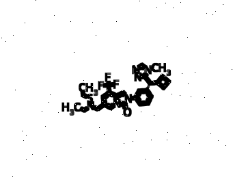 CCSN(CC)Cc1cc(C(F)(F)F)c2cn(-c3cccc([C@H](c4nncn4C)C4CCC4)c3)c(=O)n2c1